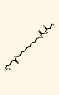 CC(C)CC(=O)NC(=O)NCCOCCOCCNC(=O)CCCC(=O)O